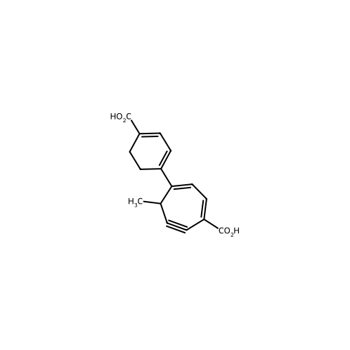 CC1C#CC(C(=O)O)=CC=C1C1=CC=C(C(=O)O)CC1